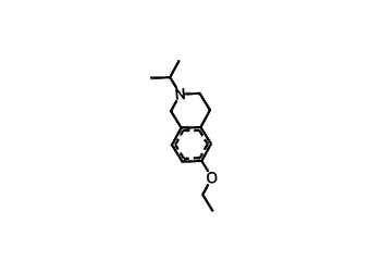 CCOc1ccc2c(c1)CCN(C(C)C)C2